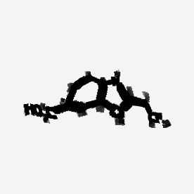 O=C(O)c1ccc2nc(CC(F)(F)F)oc2c1